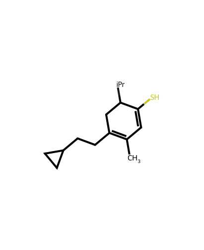 CC1=C(CCC2CC2)CC(C(C)C)C(S)=C1